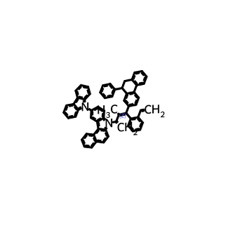 C=Cc1ccccc1/C(=C(/C)C(=C)n1c2ccc(-n3c4ccccc4c4ccccc43)cc2c2c3ccccc3ccc21)c1ccc2c(c1)C(c1ccccc1)Cc1ccccc1-2